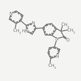 Cc1ccc(N2C(=O)C(C)(C)c3ccc(-c4c[nH]c(-c5ccncc5C)n4)cc32)cn1